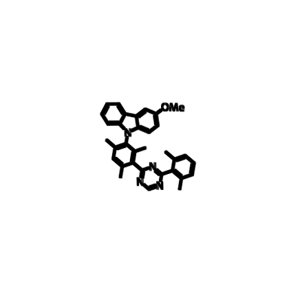 COc1ccc2c(c1)c1ccccc1n2-c1c(C)cc(C)c(-c2ncnc(-c3c(C)cccc3C)n2)c1C